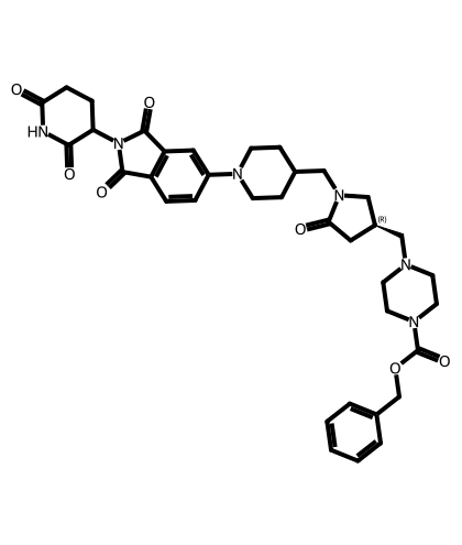 O=C1CCC(N2C(=O)c3ccc(N4CCC(CN5C[C@@H](CN6CCN(C(=O)OCc7ccccc7)CC6)CC5=O)CC4)cc3C2=O)C(=O)N1